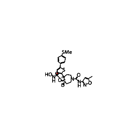 CSc1ccc(-c2ccc([C@@]3(CC(=O)NO)CCN(C(=O)Nc4cc(C)on4)CCS3(=O)=O)s2)cc1